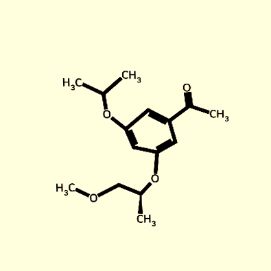 COC[C@H](C)Oc1cc(OC(C)C)cc(C(C)=O)c1